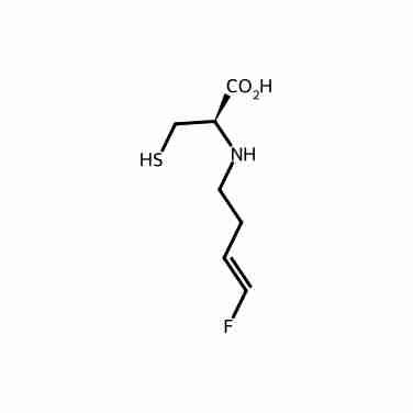 O=C(O)[C@H](CS)NCCC=CF